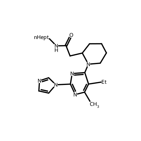 CCCCCCCNC(=O)CC1CCCCN1c1nc(-n2ccnc2)nc(C)c1CC